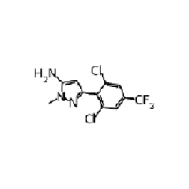 Cn1nc(-c2c(Cl)cc(C(F)(F)F)cc2Cl)cc1N